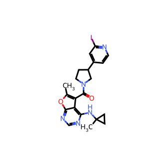 Cc1oc2ncnc(NC3(C)CC3)c2c1C(=O)N1CCC(c2ccnc(I)c2)C1